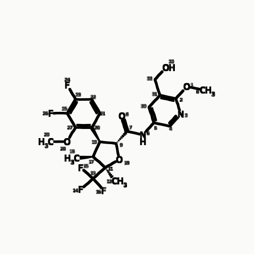 COc1ncc(NC(=O)[C@@H]2O[C@@](C)(C(F)(F)F)[C@@H](C)[C@H]2c2ccc(F)c(F)c2OC)cc1CO